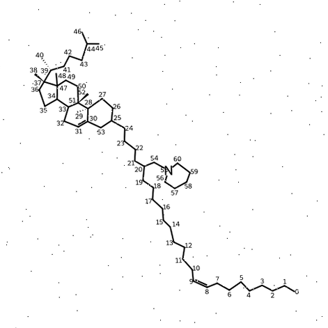 CCCCCCCC/C=C\CCCCCCCCCCC(CCCCC1CC[C@@]2(C)C(=CCC3C4CC[C@](C)([C@H](C)CCCC(C)C)C4(C)CC[C@@]32C)C1)CN1CCCCC1